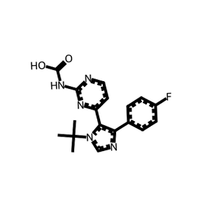 CC(C)(C)n1cnc(-c2ccc(F)cc2)c1-c1ccnc(NC(=O)O)n1